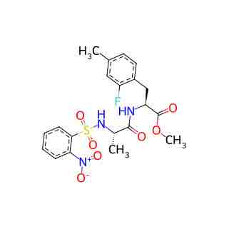 COC(=O)[C@H](Cc1ccc(C)cc1F)NC(=O)[C@H](C)NS(=O)(=O)c1ccccc1[N+](=O)[O-]